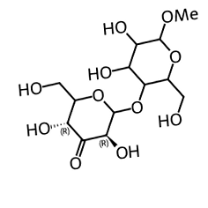 COC1OC(CO)C(OC2OC(CO)[C@@H](O)C(=O)[C@@H]2O)C(O)C1O